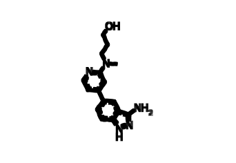 CN(CCCO)c1cc(-c2ccc3[nH]nc(N)c3c2)ccn1